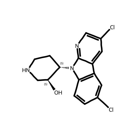 O[C@H]1CNCC[C@@H]1n1c2ccc(Cl)cc2c2cc(Cl)cnc21